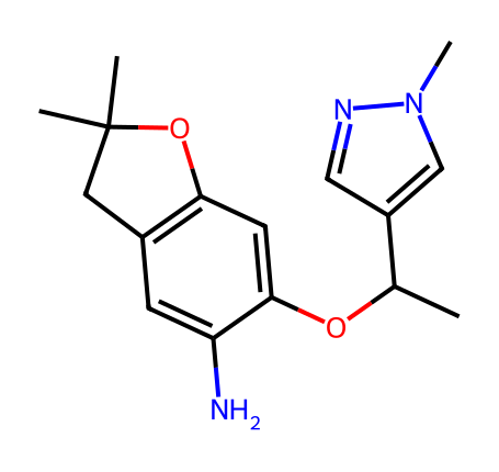 CC(Oc1cc2c(cc1N)CC(C)(C)O2)c1cnn(C)c1